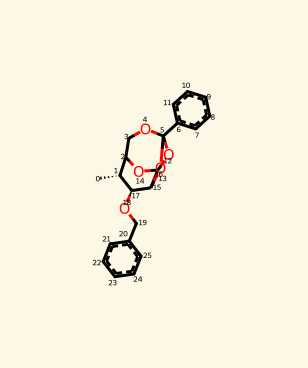 C[C@@H]1C2COC3(c4ccccc4)OC(O2)C(O3)[C@H]1OCc1ccccc1